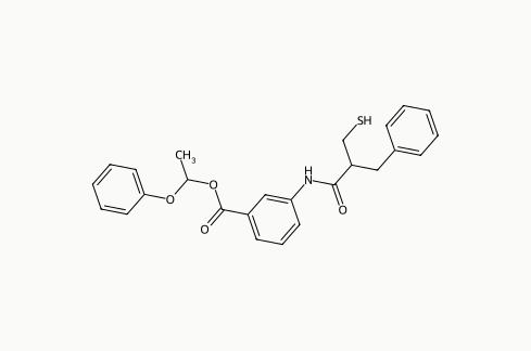 CC(OC(=O)c1cccc(NC(=O)C(CS)Cc2ccccc2)c1)Oc1ccccc1